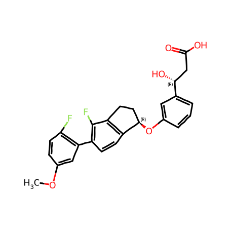 COc1ccc(F)c(-c2ccc3c(c2F)CC[C@H]3Oc2cccc([C@H](O)CC(=O)O)c2)c1